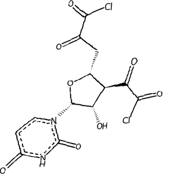 O=C(Cl)C(=O)C[C@H]1O[C@@H](n2ccc(=O)[nH]c2=O)[C@@H](O)[C@@H]1C(=O)C(=O)Cl